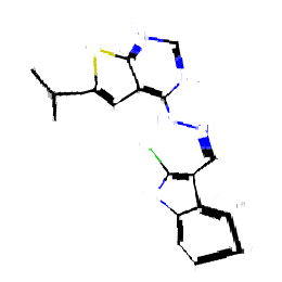 CC(C)c1cc2c(N/N=C\c3c(Cl)[nH]c4ccccc34)ncnc2s1